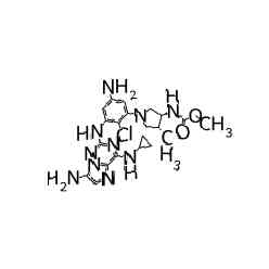 COC(=O)N[C@@H]1CN(c2cc(N)cc(Nc3nc(NC4CC4)c4ncc(N)n4n3)c2Cl)C[C@H]1C